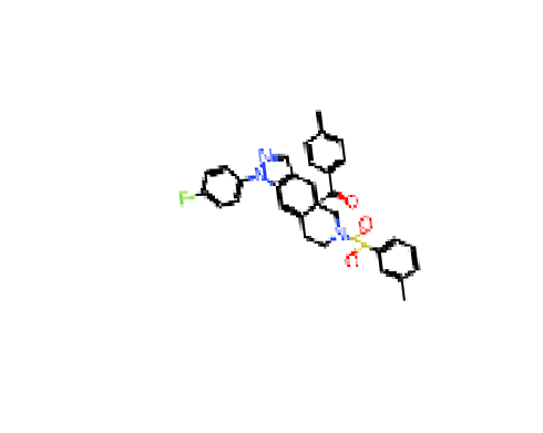 Cc1ccc(C(=O)[C@]23Cc4cnn(-c5ccc(F)cc5)c4C=C2CCN(S(=O)(=O)c2cccc(C)c2)C3)cc1